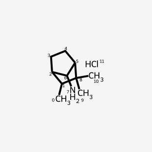 CC1C2CCC(C2N)C1(C)C.Cl